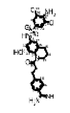 Cl.N=C(N)c1ccc(CCC(=O)N2CCCc3cc(NS(=O)(=O)c4cc(Cl)c(N)c(Cl)c4)ccc32)cc1